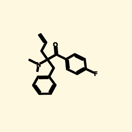 C=CCC(Cc1ccccc1)(C(=O)c1ccc(F)cc1)N(C)C